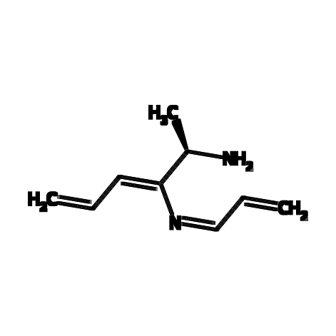 C=C/C=N\C(=C/C=C)[C@@H](C)N